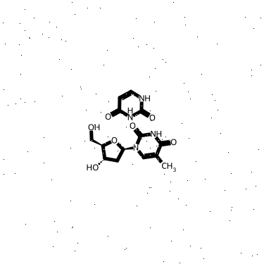 Cc1cn([C@H]2C[C@H](O)[C@@H](CO)O2)c(=O)[nH]c1=O.O=c1cc[nH]c(=O)[nH]1